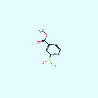 COC(=O)c1cccc([S+]([O-])Cl)c1